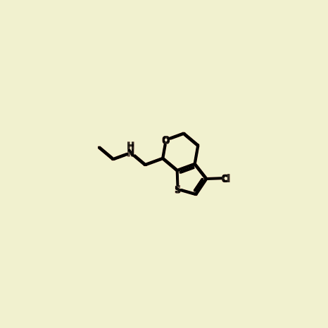 CCNCC1OCCc2c(Cl)csc21